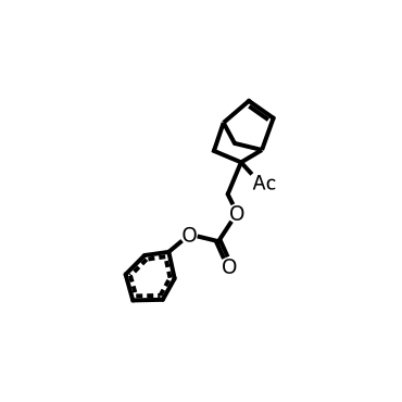 CC(=O)C1(COC(=O)Oc2ccccc2)CC2C=CC1C2